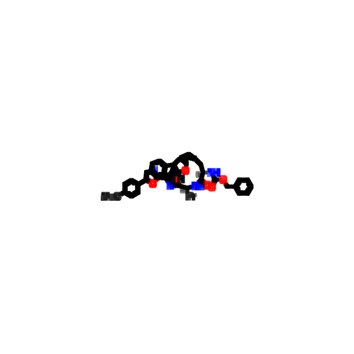 COc1ccc(-c2cnc(-c3nc4oc3C35c6ccccc6N[C@H]3Oc3ccc(cc35)C[C@H](NC(=O)OCc3ccccc3)C(=O)N[C@H]4C(C)C)o2)cc1